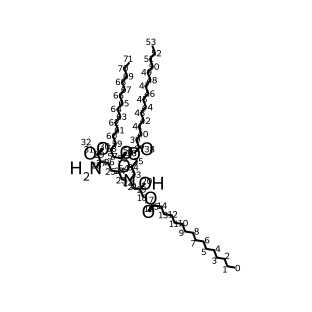 CCCCCCCCCCCCCCCC(=O)OCC(O)CN(CCCCC(N)C(=O)OC)CC(COC(=O)CCCCCCCCCCCCCCC)OC(=O)CCCCCCCCCCCCCCC